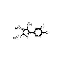 CC(=O)Nc1oc(-c2ccc(Cl)c(Cl)c2)c(O)c1OC(C)=O